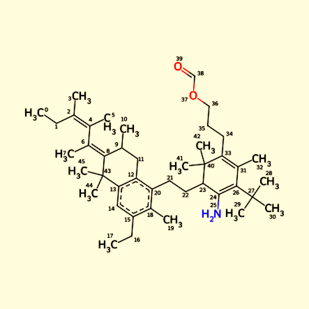 CC/C(C)=C(C)\C(C)=C1/C(C)Cc2c(cc(CC)c(C)c2CCC2C(N)=C(C(C)(C)C)C(C)=C(CCCOC=O)C2(C)C)C1(C)C